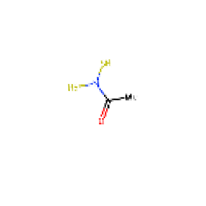 O=[C]([Mo])N(S)S